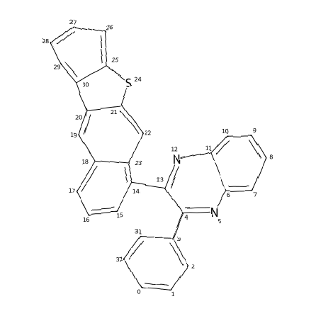 c1ccc(-c2nc3ccccc3nc2-c2cccc3cc4c(cc23)sc2ccccc24)cc1